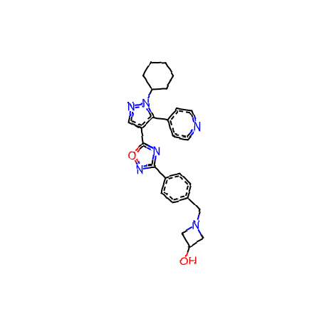 OC1CN(Cc2ccc(-c3noc(-c4cnn(C5CCCCC5)c4-c4ccncc4)n3)cc2)C1